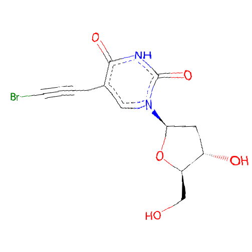 O=c1[nH]c(=O)n([C@H]2C[C@H](O)[C@@H](CO)O2)cc1C#CBr